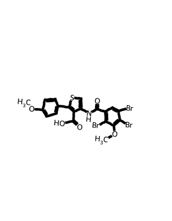 COc1ccc(-c2scc(NC(=O)c3cc(Br)c(Br)c(OC)c3Br)c2C(=O)O)cc1